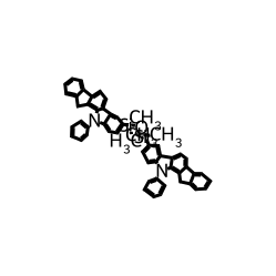 C[Si](C)(O[Si](C)(C)c1ccc2c(c1)c1ccc3c(c1n2-c1ccccc1)Cc1ccccc1-3)c1ccc2c(c1)c1ccc3c(c1n2-c1ccccc1)Cc1ccccc1-3